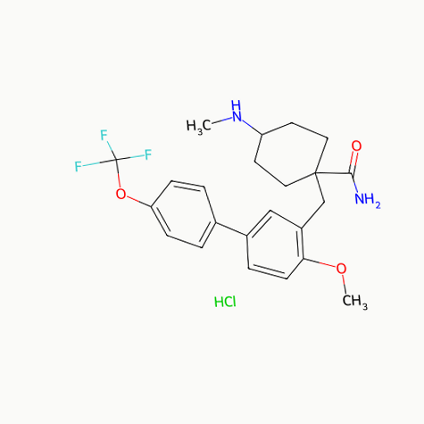 CNC1CCC(Cc2cc(-c3ccc(OC(F)(F)F)cc3)ccc2OC)(C(N)=O)CC1.Cl